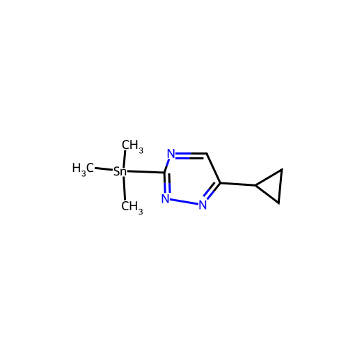 [CH3][Sn]([CH3])([CH3])[c]1ncc(C2CC2)nn1